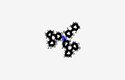 c1ccc(-c2ccc(N(c3ccc(-c4ccccc4-c4ccccc4)cc3)c3ccc(-c4ccccc4-c4ccccc4)cc3)cc2)cc1